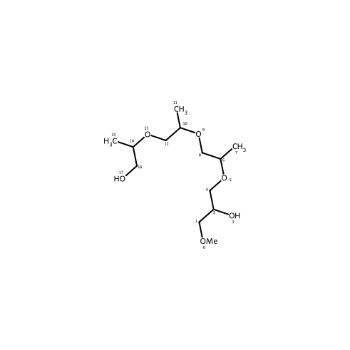 COCC(O)COC(C)COC(C)COC(C)CO